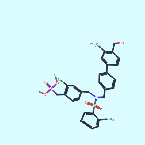 COc1ccccc1S(=O)(=O)N(Cc1ccc(-c2ccc(CO)c(C(=O)O)c2)cc1)Cc1ccc(CP(=O)(OF)OF)c(Cl)c1